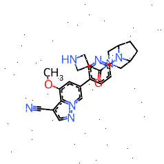 COc1cc(-c2ccc(N3C4CCC3CN(C(=O)C3CNC3)C4)nc2)cn2ncc(C#N)c12